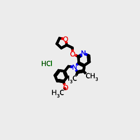 COc1cccc(Cn2c(C)c(C)c3ccnc(OCC4CCCO4)c32)c1.Cl